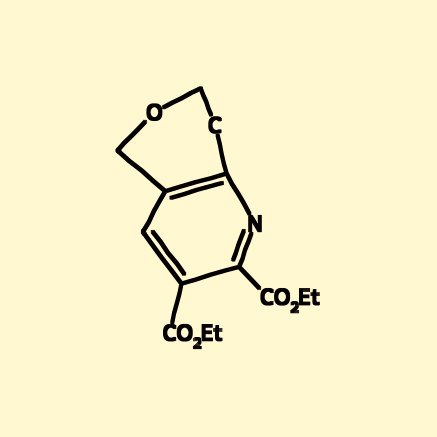 CCOC(=O)c1cc2c(nc1C(=O)OCC)CCOC2